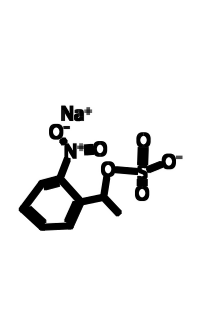 CC(OS(=O)(=O)[O-])c1ccccc1[N+](=O)[O-].[Na+]